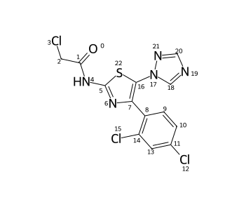 O=C(CCl)Nc1nc(-c2ccc(Cl)cc2Cl)c(-n2cncn2)s1